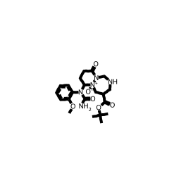 COc1ccccc1N(C(N)=O)C1CCC(=O)N2CNCC(C(=O)OC(C)(C)C)C[N+]12[O-]